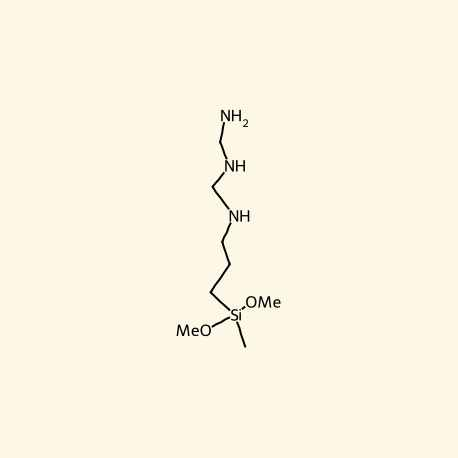 CO[Si](C)(CCCNCNCN)OC